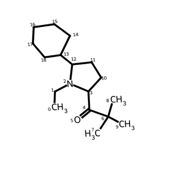 CCN1C(C(=O)C(C)(C)C)CCC1C1CCCCC1